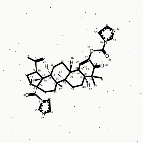 C=C(C)[C@@H]1CC[C@]2(C(=O)n3ccnc3)CC[C@]3(C)[C@H](CC[C@@H]4[C@@]5(C)C=C(OC(=O)n6ccnc6)C(=O)C(C)(C)[C@@H]5CC[C@]43C)[C@@H]12